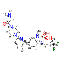 Cc1ccc(N2CCN(C(=O)CN(C)C)CC2)nc1-c1ccc2c(c1)N(C)S(O)(O)N2CC1CC1(F)F